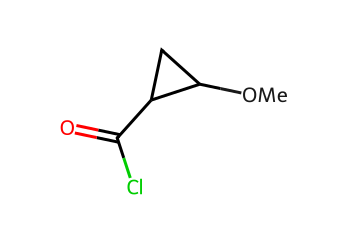 COC1CC1C(=O)Cl